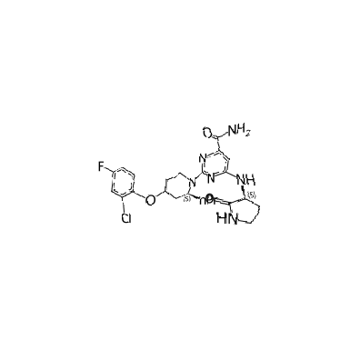 CCC[C@H]1CC(Oc2ccc(F)cc2Cl)CCN1c1nc(N[C@H]2CCNC2=O)cc(C(N)=O)n1